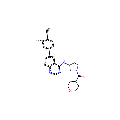 C#Cc1ccc(-c2ccc3ncnc(N[C@H]4CCN(C(=O)C5CCOCC5)C4)c3c2)cc1C=O